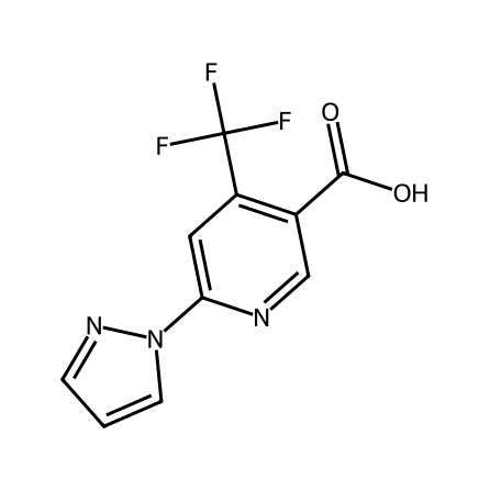 O=C(O)c1cnc(-n2cccn2)cc1C(F)(F)F